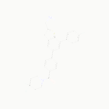 NCc1cc2cc(-c3ccc(C(=O)N4CCC(F)(F)CC4)cc3)cc(-c3ccc(F)cc3)c2s1